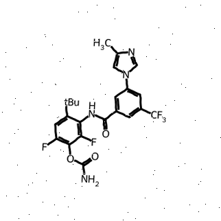 Cc1cn(-c2cc(C(=O)Nc3c(C(C)(C)C)cc(F)c(OC(N)=O)c3F)cc(C(F)(F)F)c2)cn1